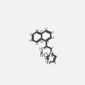 CCCCCCCCSC(Cn1ccnc1)c1cccc2ccccc12